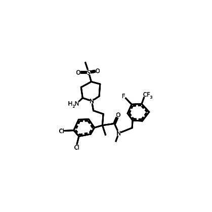 CN(Cc1ccc(C(F)(F)F)c(F)c1)C(=O)C(C)(CCN1CCC(S(C)(=O)=O)CC1N)c1ccc(Cl)c(Cl)c1